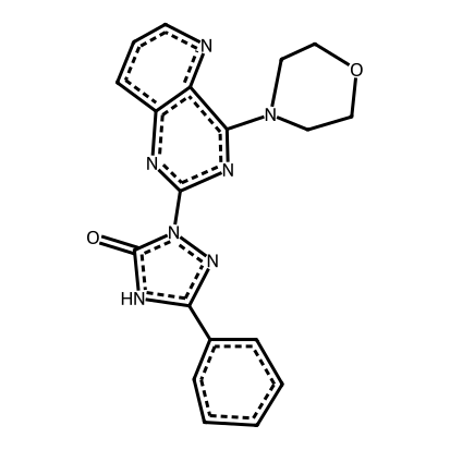 O=c1[nH]c(-c2ccccc2)nn1-c1nc(N2CCOCC2)c2ncccc2n1